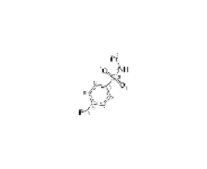 CC(C)NS(=O)(=O)c1ccc(C(C)C)cc1